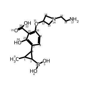 CC1C(B(O)O)C1c1ccc(OC2CN(CCN)C2)c(C(=O)O)c1O